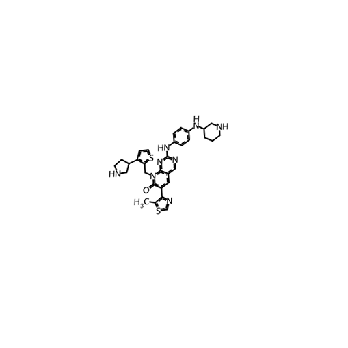 Cc1scnc1-c1cc2cnc(Nc3ccc(NC4CCCNC4)cc3)nc2n(Cc2sccc2C2CCNC2)c1=O